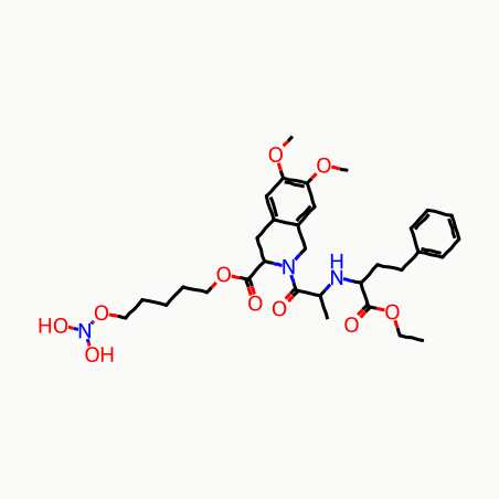 CCOC(=O)C(CCc1ccccc1)NC(C)C(=O)N1Cc2cc(OC)c(OC)cc2CC1C(=O)OCCCCCON(O)O